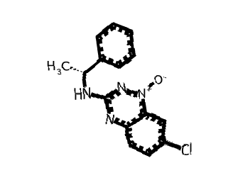 C[C@@H](Nc1nc2ccc(Cl)cc2[n+]([O-])n1)c1ccccc1